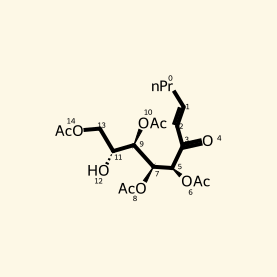 CCCC=CC(=O)[C@@H](OC(C)=O)[C@@H](OC(C)=O)[C@H](OC(C)=O)[C@H](O)COC(C)=O